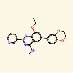 CCOc1cc(-c2ccc3c(c2)OCCO3)cc2c(NC)nc(-c3cccnc3)nc12